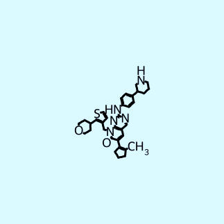 CC1=C(c2cc3cnc(Nc4ccc(C5CCCNC5)cc4)nc3n(Cc3ccsc3C3CCOCC3)c2=O)CCC1